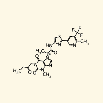 CCC(=O)Cn1c(=O)c2c(ncn2[C@@H](C)C(=O)Nc2csc(-c3cnc(C)c(C(F)(F)F)c3)n2)n(C)c1=O